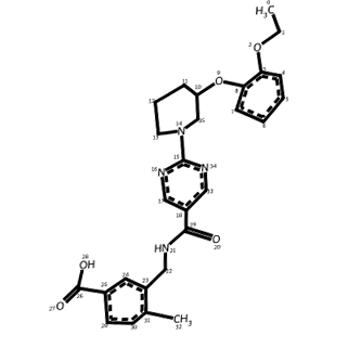 CCOc1ccccc1OC1CCCN(c2ncc(C(=O)NCc3cc(C(=O)O)ccc3C)cn2)C1